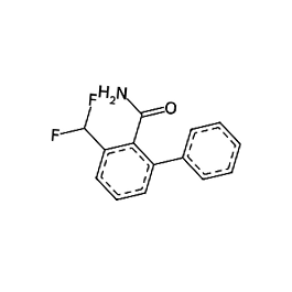 NC(=O)c1c(-c2ccccc2)cccc1C(F)F